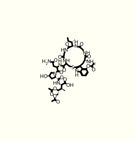 CC[C@H](C)[C@@H]1NC(=O)CNC(=O)[C@H](N)Cc2c([nH]c3cccc(OC(C)=O)c23)SCC(C(=O)NC(CC(N)=O)C(=O)N2C[C@H](O)C[C@H]2C(=O)N[C@H](C(=O)O)[C@@H](C)[C@H](COC(C)=O)OC(C)=O)NC(=O)CNC1=O